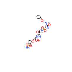 CNS(=O)(=O)c1cccc(OC[C@@H](O)CN[C@H]2COC3(CCN(S(=O)(=O)c4cnc5c(c4)N(CCOCc4ccccc4)CCO5)CC3)C2)c1